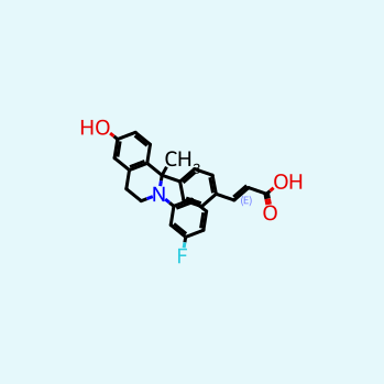 CC1(c2ccc(/C=C/C(=O)O)cc2)c2ccc(O)cc2CCN1c1cccc(F)c1